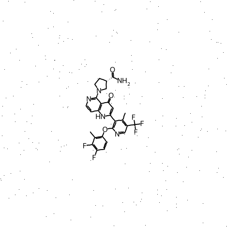 Cc1c(Oc2ncc(C(F)(F)F)c(C)c2-c2cc(=O)c3c(N4CC[C@H](C(N)=O)C4)nccc3[nH]2)ccc(F)c1F